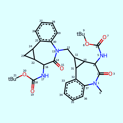 CN1C(=O)C(NC(=O)OC(C)(C)C)C2C(CN3C(=O)C(NC(=O)OC(C)(C)C)C4CC4c4ccccc43)C2c2ccccc21